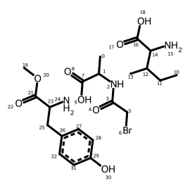 CC(NC(=O)CBr)C(=O)O.CCC(C)C(N)C(=O)O.COC(=O)C(N)Cc1ccc(O)cc1